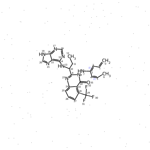 C=C/C=C(\C=C/C)Nn1c(C(CC)Nc2ncnc3[nH]cnc23)nc2cccc(C(F)(F)F)c2c1=O